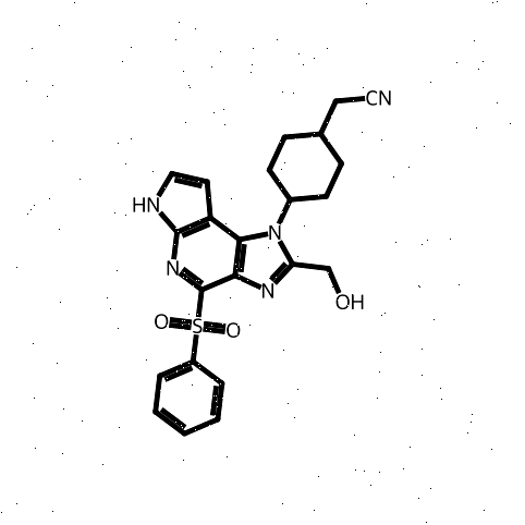 N#CCC1CCC(n2c(CO)nc3c(S(=O)(=O)c4ccccc4)nc4[nH]ccc4c32)CC1